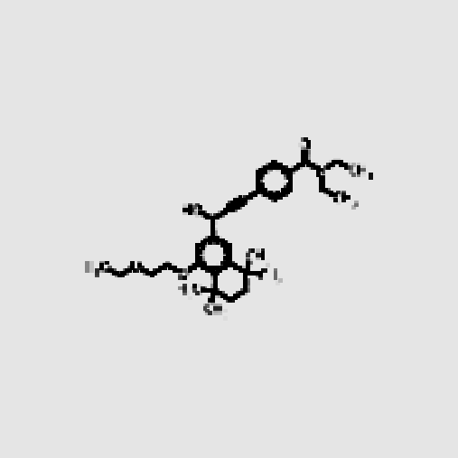 CCOCCOc1cc(C(O)C#Cc2ccc(C(=O)N(CC)CC)cc2)cc2c1C(C)(C)CCC2(C)C